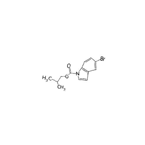 CC(C)COC(=O)n1ccc2cc(Br)ccc21